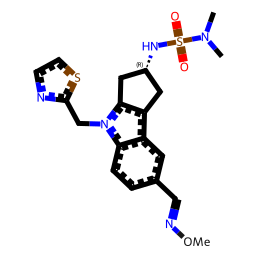 CON=Cc1ccc2c(c1)c1c(n2Cc2nccs2)C[C@H](NS(=O)(=O)N(C)C)C1